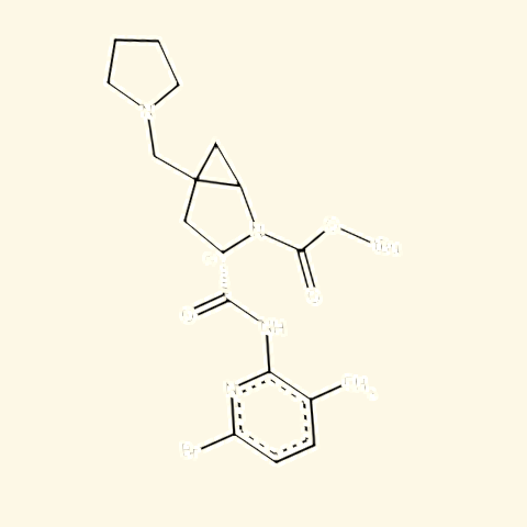 Cc1ccc(Br)nc1NC(=O)[C@@H]1CC2(CN3CCCC3)CC2N1C(=O)OC(C)(C)C